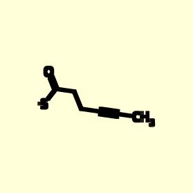 CC#CCCC(=O)[S]